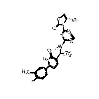 Cc1cc(-c2ccc([C@H](C)Nc3ncnc(N4C(=O)OC[C@@H]4C(C)C)n3)c(=O)[nH]2)ccc1F